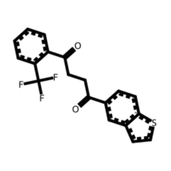 O=C(CCC(=O)c1ccccc1C(F)(F)F)c1ccc2sccc2c1